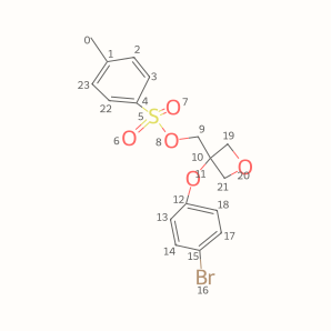 Cc1ccc(S(=O)(=O)OCC2(Oc3ccc(Br)cc3)COC2)cc1